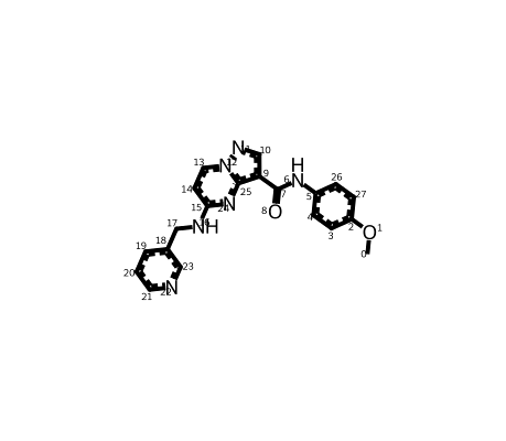 COc1ccc(NC(=O)c2cnn3ccc(NCc4cccnc4)nc23)cc1